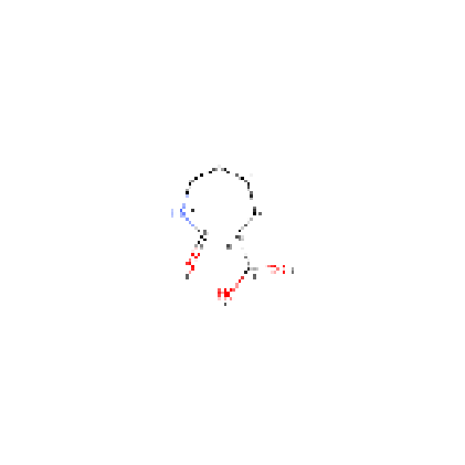 O=C(O)[C@H]1CCCCNC1=O